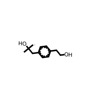 [CH2]C(C)(O)Cc1ccc(CCO)cc1